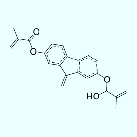 C=C(C)C(=O)Oc1ccc2c(c1)C(=C)c1cc(OC(O)C(=C)C)ccc1-2